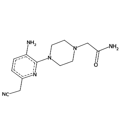 N#CCc1ccc(N)c(N2CCN(CC(N)=O)CC2)n1